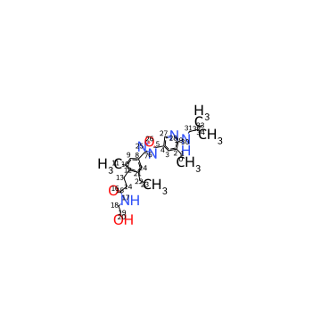 CCc1cc(-c2nc(-c3cc(C)c(CCC(=O)NCCO)c(CC)c3)no2)cnc1NCC(C)C